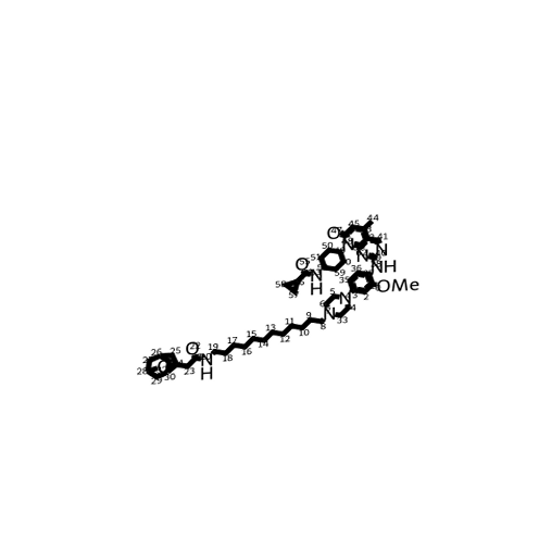 COc1cc(N2CCN(CCCCCCCCCCCCNC(=O)CC34CC5CC(CC3C5)C4)CC2)ccc1Nc1ncc2c(C)cc(=O)n([C@H]3CC[C@@H](NC(=O)C4CC4)CC3)c2n1